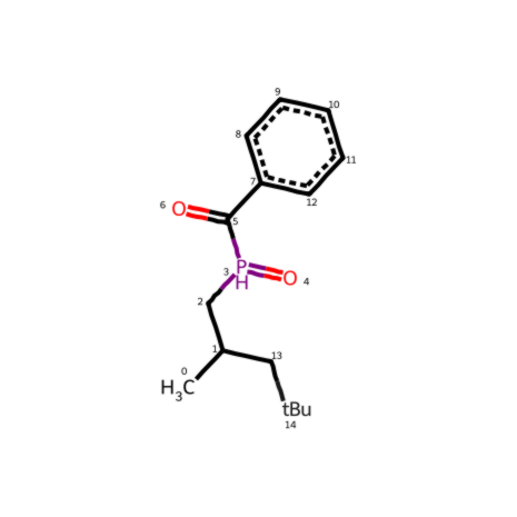 CC(C[PH](=O)C(=O)c1ccccc1)CC(C)(C)C